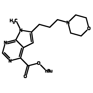 CCCCOC(=O)c1ncnc2c1cc(CCCN1CCOCC1)n2C